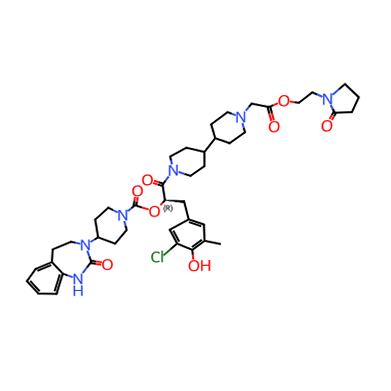 Cc1cc(C[C@@H](OC(=O)N2CCC(N3CCc4ccccc4NC3=O)CC2)C(=O)N2CCC(C3CCN(CC(=O)OCCN4CCCC4=O)CC3)CC2)cc(Cl)c1O